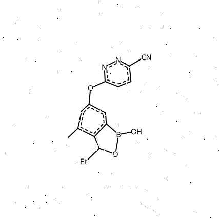 CCC1OB(O)c2cc(Oc3ccc(C#N)nn3)cc(C)c21